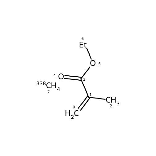 C=C(C)C(=O)OCC.[338CH4]